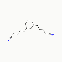 N#CCCCCC1[CH]C(CCCCC#N)CCC1